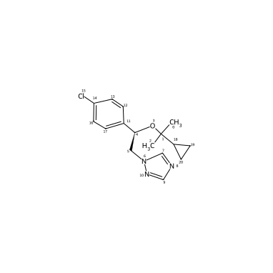 CC(C)(O[C@@H](Cn1cncn1)c1ccc(Cl)cc1)C1CC1